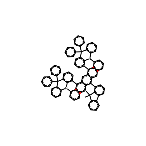 CC1(C)c2ccccc2-c2cccc(-c3c4cccc(-c5cccc6c5N(c5ccccc5)c5ccccc5C6(c5ccccc5)c5ccccc5)c4cc4c(-c5cccc6c5N(c5ccccc5)c5ccccc5C6(c5ccccc5)c5ccccc5)cccc34)c21